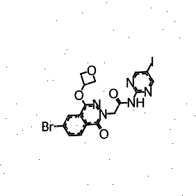 O=C(Cn1nc(OC2COC2)c2cc(Br)ccc2c1=O)Nc1ncc(I)cn1